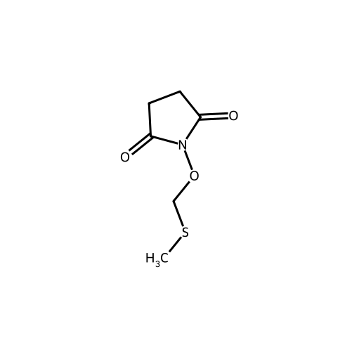 CSCON1C(=O)CCC1=O